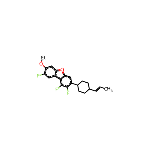 C/C=C/C1CCC(c2cc3oc4cc(OCC)c(F)cc4c3c(F)c2F)CC1